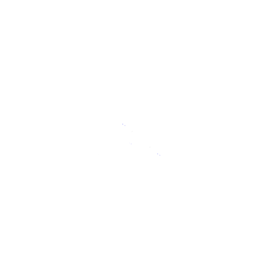 CC(=O)SCCN(CCC1CCCCC1)C(=O)NC(C)C(=O)N1CCOCC1